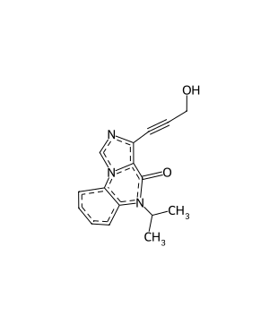 CC(C)n1c(=O)c2c(C#CCO)ncn2c2ccccc21